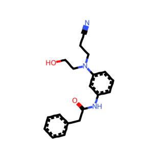 N#CCCN(CCO)c1cccc(NC(=O)Cc2ccccc2)c1